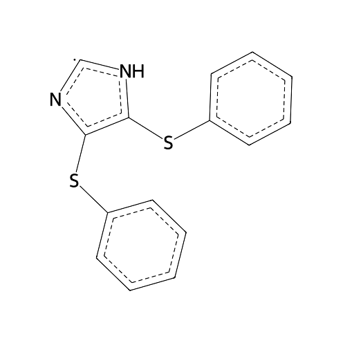 [c]1nc(Sc2ccccc2)c(Sc2ccccc2)[nH]1